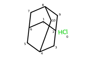 Cl.[CH]1C2CC3CC1CC(C2)C3